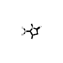 CCN(C(C)=O)C1C(C)CC(=O)N1C